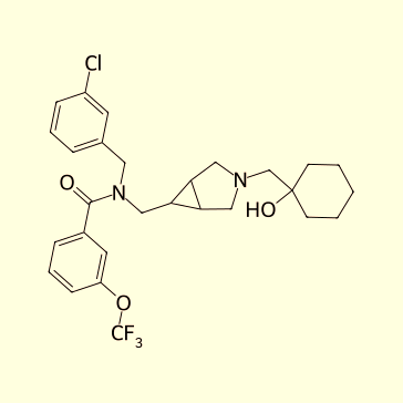 O=C(c1cccc(OC(F)(F)F)c1)N(Cc1cccc(Cl)c1)CC1C2CN(CC3(O)CCCCC3)CC21